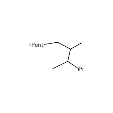 CCCCCCC(C)C(C)C(C)C